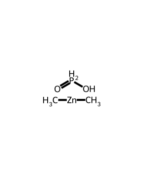 O=[PH2]O.[CH3][Zn][CH3]